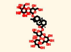 CC1=C[C@@]23CCC4[C@](C)(C(=O)OC5OC(CO)C(O)C(OC6OC(CO)C(O)C(O)C6O)C5OC5OC(CO)C(O)C(O)C5O)CCC[C@@]4(C)[C@@H]2CC[C@]1(OC1OC(CO)[C@H](O)C(OC2OC(CO)C(O)C(O)C2O)C1OC1OC(CO)C(O)C(O)C1O)C3